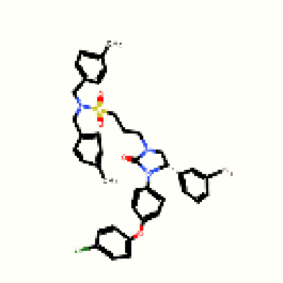 COc1ccc(CN(Cc2ccc(OC)cc2)S(=O)(=O)CCCN2C[C@H](c3cccc(C(F)(F)F)c3)N(c3ccc(Oc4ccc(Cl)cc4)cc3)C2=O)cc1